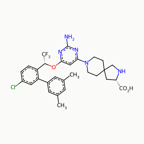 Cc1cc(C)cc(-c2cc(Cl)ccc2[C@@H](Oc2cc(N3CCC4(CC3)CN[C@H](C(=O)O)C4)nc(N)n2)C(F)(F)F)c1